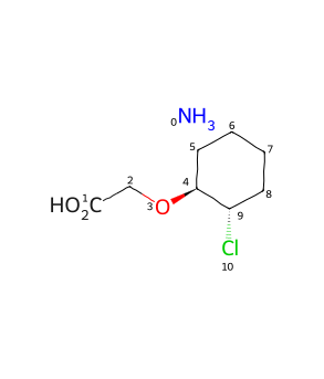 N.O=C(O)CO[C@H]1CCCC[C@@H]1Cl